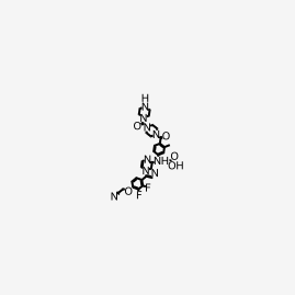 Cc1cc(Nc2nccn3c(-c4ccc(OCC#N)c(F)c4F)cnc23)ccc1C(=O)N1CCN(C(=O)N2CCNCC2)CC1.O=CO